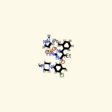 CCc1c(Oc2cc(N3CCN(C)CC3)cc(Cl)c2C)nc(NS(=O)(=O)c2cnn(C)c2)nc1-c1ccccc1CC(C)C